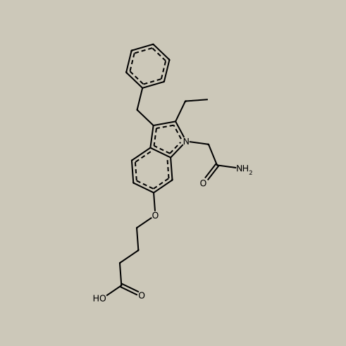 CCc1c(Cc2ccccc2)c2ccc(OCCCC(=O)O)cc2n1CC(N)=O